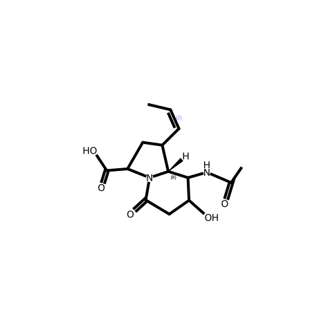 C/C=C\C1CC(C(=O)O)N2C(=O)CC(O)C(NC(C)=O)[C@@H]12